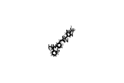 CN(C)c1ncc(-c2ncc(Cc3ccc4c(c3)NC(=O)c3ccccc3S4)s2)cn1